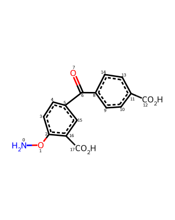 NOc1ccc(C(=O)c2ccc(C(=O)O)cc2)cc1C(=O)O